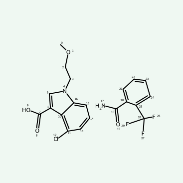 COCCn1cc(C(=O)O)c2c(Cl)cccc21.NC(=O)c1ccccc1C(F)(F)F